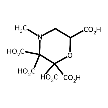 CN1CC(C(=O)O)OC(C(=O)O)(C(=O)O)C1(C(=O)O)C(=O)O